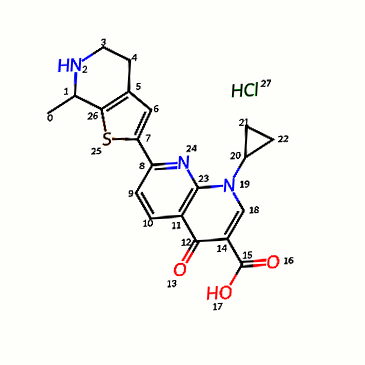 CC1NCCc2cc(-c3ccc4c(=O)c(C(=O)O)cn(C5CC5)c4n3)sc21.Cl